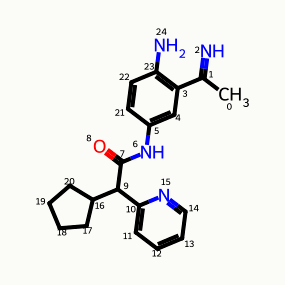 CC(=N)c1cc(NC(=O)C(c2ccccn2)C2CCCC2)ccc1N